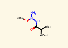 CCCCCC(CCCC)C(=O)NN(N)OCCCC